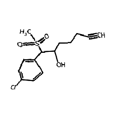 C#CCCCC(O)C(c1ccc(Cl)cc1)S(C)(=O)=O